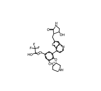 Cc1cc(Cl)cc(-c2ccnc3cc(CC4C(=O)NCC4O)sc23)c1O[C@H]1CCCNC1.O=C(O)C(F)(F)F